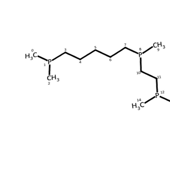 CP(C)CCCCCP(C)CCP(C)C